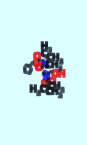 CC(C)[C@@H](C(=O)OCc1ccccc1)N(C)C(=O)[C@H]1CN(C(=O)OC(C)(C)C)[C@@H]1CO